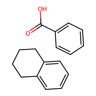 O=C(O)c1ccccc1.c1ccc2c(c1)CCCC2